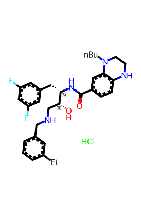 CCCCN1CCNc2ccc(C(=O)N[C@@H](Cc3cc(F)cc(F)c3)[C@H](O)CNCc3cccc(CC)c3)cc21.Cl